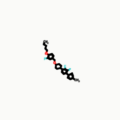 C=CCCCOc1ccc(COC2CCC(c3ccc(-c4ccc(C)cc4)c(F)c3F)CC2)cc1F